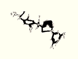 C[C@H](Oc1ccc(S(=O)(=O)C2CCN(c3cc(C(F)(F)F)nc(C#N)n3)C2)c(Cl)c1)C(F)(F)F